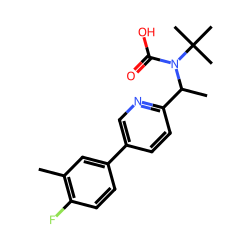 Cc1cc(-c2ccc(C(C)N(C(=O)O)C(C)(C)C)nc2)ccc1F